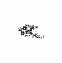 COc1ccc(-c2cnnn2-c2cc(OC)c(OC)c(OC)c2)cc1NC(=O)C(CCCNC(=N)N)NC(=O)CNC(=O)C(N)CC(=O)O